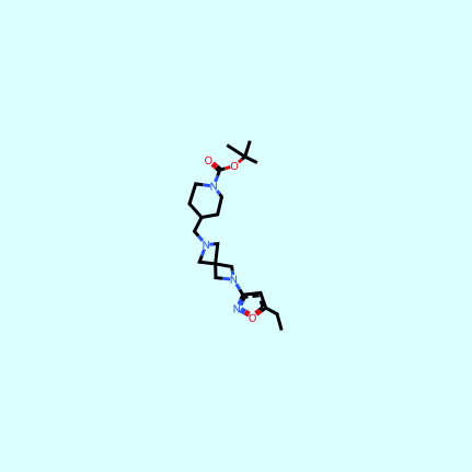 CCc1cc(N2CC3(CN(CC4CCN(C(=O)OC(C)(C)C)CC4)C3)C2)no1